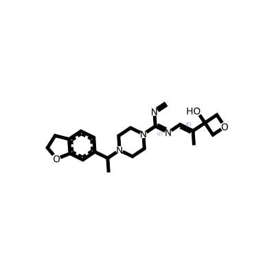 C=N/C(=N\C=C(/C)C1(O)COC1)N1CCN(C(C)c2ccc3c(c2)OCC3)CC1